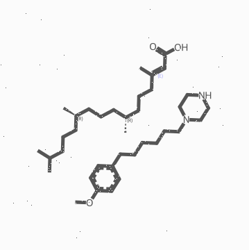 C/C(=C\C(=O)O)CCC[C@H](C)CCC[C@H](C)CCCC(C)C.COc1ccc(CCCCCCN2CCNCC2)cc1